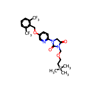 C[Si](C)(C)CCOCN1C(=O)CN(c2ccc(OCc3c(C(F)(F)F)cccc3C(F)(F)F)cn2)C1=O